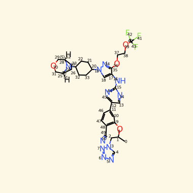 CC(Cn1cnnn1)Oc1cc(-c2cnc(Nc3cn(C4CCC(N5[C@@H]6CC[C@H]5COC6)CC4)nc3OCCOC(F)(F)F)nc2)ccc1C#N